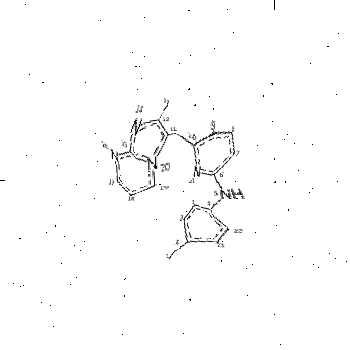 Cc1ccc(Nc2cccc(-c3c(C)nc4ncccn34)n2)cc1